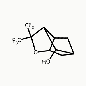 OC1C2CC3OC(C(F)(F)F)(C(F)(F)F)C1C3C2